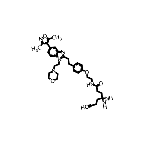 C#CCCC1(CCC(=O)NCCOc2ccc(CCc3nc4cc(-c5c(C)noc5C)ccc4n3CCN3CCOCC3)cc2)NN1